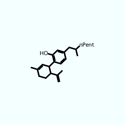 C=C(C)C1CCC(C)=CC1c1ccc(CC(C)CCCCC)cc1O